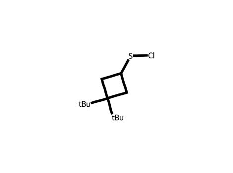 CC(C)(C)C1(C(C)(C)C)CC(SCl)C1